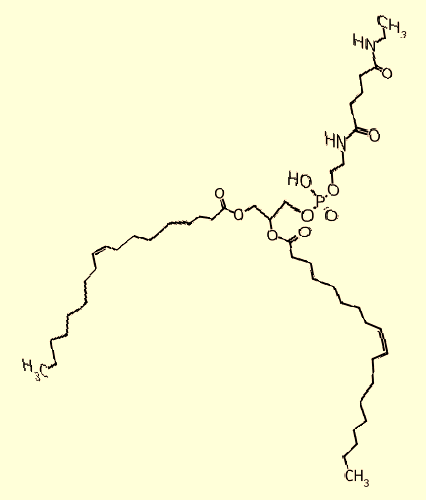 CCCCCCCC/C=C\CCCCCCCC(=O)OCC(COP(=O)(O)OCCNC(=O)CCCC(=O)NCC)OC(=O)CCCCCCC/C=C\CCCCCCCC